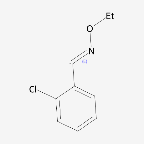 CCO/N=[C]/c1ccccc1Cl